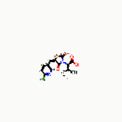 CC(C)C(C(=O)O)N1C(=O)/C(=C\c2ccc(Br)nc2)SC1=S